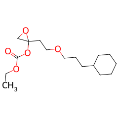 CCOC(=O)OC1(CCOCCCC2CCCCC2)CO1